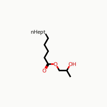 CCCCCCCCCCCC(=O)OCC(C)O